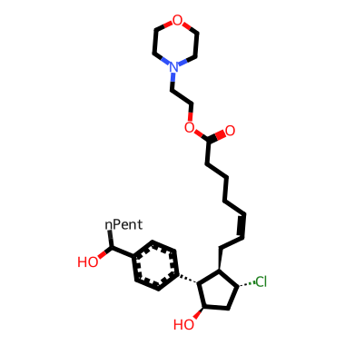 CCCCCC(O)c1ccc([C@@H]2[C@@H](C/C=C\CCCC(=O)OCCN3CCOCC3)[C@H](Cl)C[C@H]2O)cc1